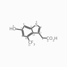 O=C(O)Cc1csc2cc(O)cc(C(F)(F)F)c12